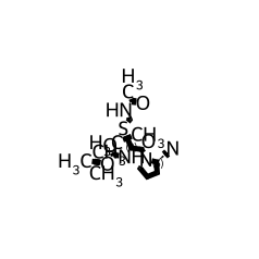 CC(=O)NCSC(C)(C)[C@H](NC(=O)OC(C)(C)C)C(=O)N1CCC[C@H]1C#N